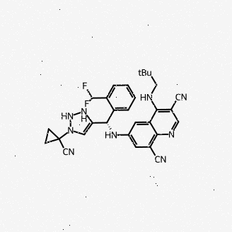 CC(C)(C)CNc1c(C#N)cnc2c(C#N)cc(N[C@H](C3=CN(C4(C#N)CC4)NN3)c3ccccc3C(F)F)cc12